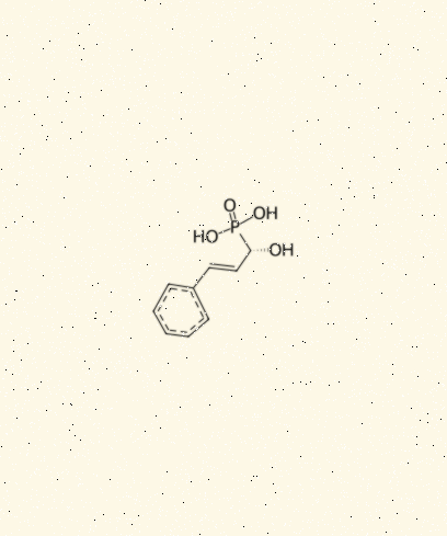 O=P(O)(O)[C@H](O)/C=C/c1ccccc1